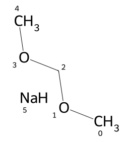 COCOC.[NaH]